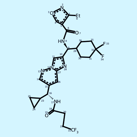 CCc1nocc1C(=O)N[C@H](c1cn2ncc([C@H](NC(=O)CCC(F)(F)F)C3CC3)cc2n1)C1CCC(F)(F)CC1